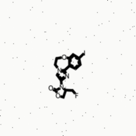 O=C1OCC(CF)N1c1cn2c(n1)-c1ccc(I)cc1OCC2